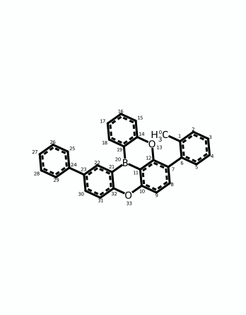 Cc1ccccc1-c1ccc2c3c1Oc1ccccc1B3c1cc(-c3ccccc3)ccc1O2